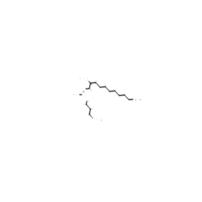 CCCCCCCCCCCCCCCCCCC(COP(O)OCCCNC)OC(C)=O